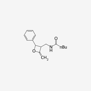 C=C1OC(c2ccccc2)C1CNC(=O)CCCC